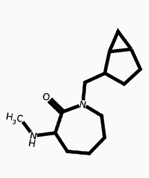 CNC1CCCCN(CC2CCC3CC32)C1=O